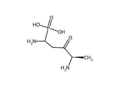 C[C@@H](N)C(=O)CC(N)P(=O)(O)O